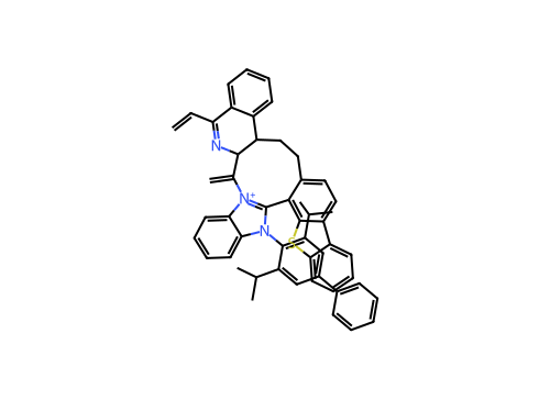 C=CC1=NC2C(=C)[n+]3c(n(-c4c(C(C)C)cc(-c5ccccc5)cc4C(C)C)c4ccccc43)-c3c(ccc4c3sc3ccccc34)CCC2c2ccccc21